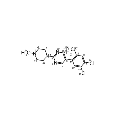 CN1CCN(c2ncc(-c3cc(Cl)c(Cl)cc3Cl)c(N)n2)CC1